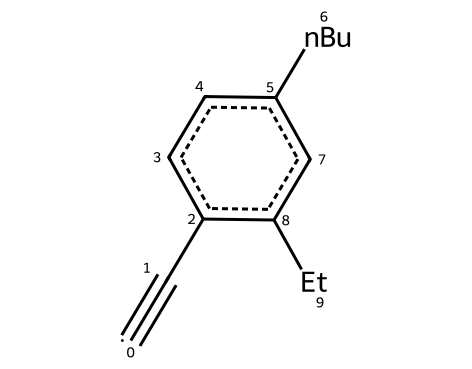 [C]#Cc1ccc(CCCC)cc1CC